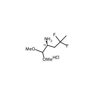 COC(OC)[C@@H](N)CC(C)(F)F.Cl